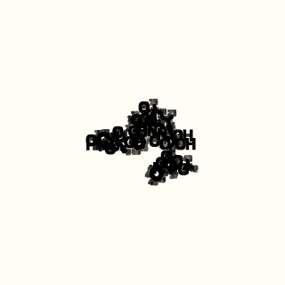 C#C[C@@]1(O)[C@H](O)[C@@H](COP(=S)(N[C@@H](CC)C(=O)OC(C)CCC(C)C#C[C@@]2(O)[C@H](O)[C@@H](COP(=S)(N[C@@H](C)C(=O)OC(C)C)Oc3ccccc3)O[C@H]2n2ccc(=O)[nH]c2=O)Oc2ccccc2)O[C@H]1n1ccc(=O)[nH]c1=O